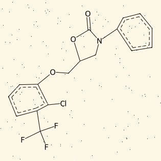 O=C1OC(COc2cccc(C(F)(F)F)c2Cl)CN1c1ccccc1